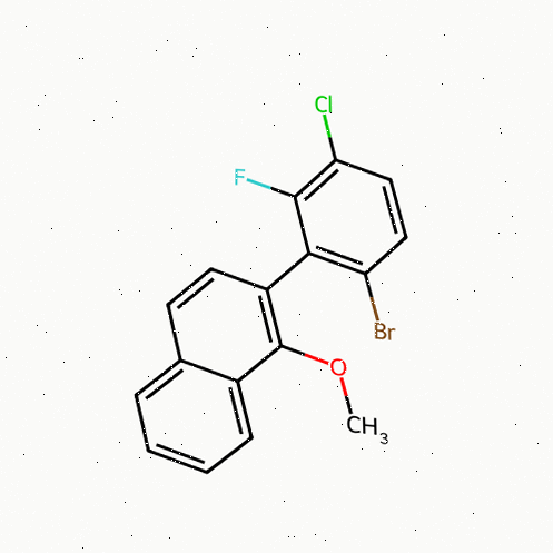 COc1c(-c2c(Br)ccc(Cl)c2F)ccc2ccccc12